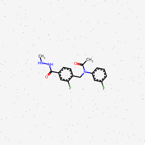 CNNC(=O)c1ccc(CN(C(C)=O)c2cccc(F)c2)c(F)c1